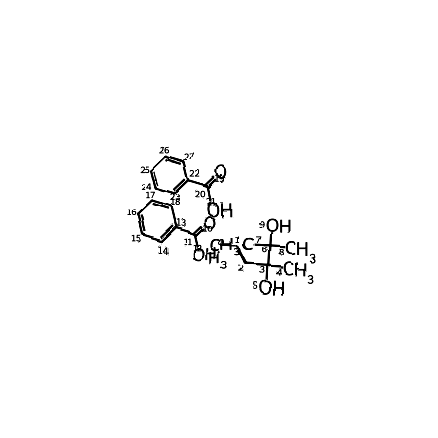 CCCC(C)(O)C(C)(C)O.O=C(O)c1ccccc1.O=C(O)c1ccccc1